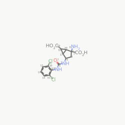 NC1(C(=O)O)CC(NC(=O)Nc2c(Cl)cccc2Cl)C2C(C(=O)O)C21